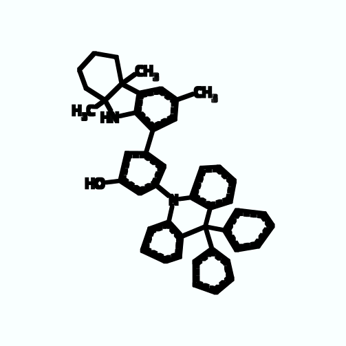 Cc1cc(-c2cc(O)cc(N3c4ccccc4C(c4ccccc4)(c4ccccc4)c4ccccc43)c2)c2c(c1)C1(C)CCCCC1(C)N2